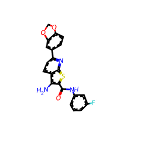 Nc1c(C(=O)Nc2cccc(F)c2)sc2nc(-c3ccc4c(c3)OCO4)ccc12